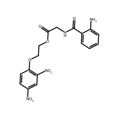 Nc1ccccc1C(=O)NCC(=O)OCCOc1ccc([N+](=O)[O-])cc1[N+](=O)[O-]